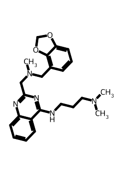 CN(C)CCCNc1nc(CN(C)Cc2cccc3c2OCO3)nc2ccccc12